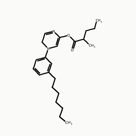 CCCCCCCc1cccc(N2C=C(OC(=O)C(C)CCC)N=CC2)c1